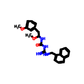 COc1cccc(CC(NC(=O)NC(=N)NCc2cccc3ccccc23)OC)c1